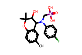 CC1(C)Oc2ccc(C#N)cc2C(N(CP(=O)(O)O)c2ccc(F)cc2)C1O